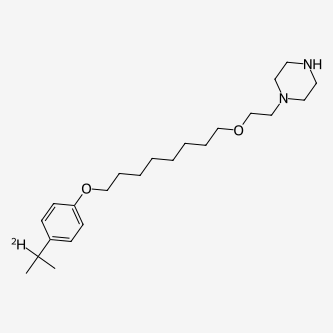 [2H]C(C)(C)c1ccc(OCCCCCCCCOCCN2CCNCC2)cc1